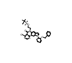 CC(C)(C)[Si](C)(C)OCCN(C(=O)c1c(Cl)ncnc1Cl)c1ccc2c(ccn2-c2ccccc2OCc2ccccc2)c1